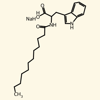 CCCCCCCCCCCC(=O)NC(Cc1c[nH]c2ccccc12)C(=O)O.[NaH]